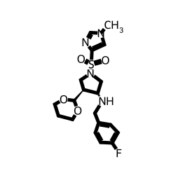 Cn1cnc(S(=O)(=O)N2C[C@H](NCc3ccc(F)cc3)[C@@H](C3OCCCO3)C2)c1